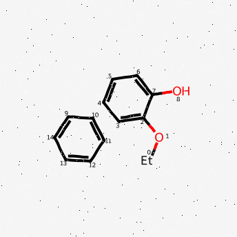 CCOc1ccccc1O.c1ccccc1